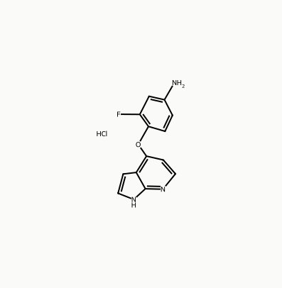 Cl.Nc1ccc(Oc2ccnc3[nH]ccc23)c(F)c1